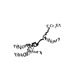 CCCCCCCCCN(CCCCCCC(=O)OCC)CCC1CCN(C(=O)CN(CCCCCCCCC)CCN(CCCCCCCCC)CCCCCCCCC)CC1